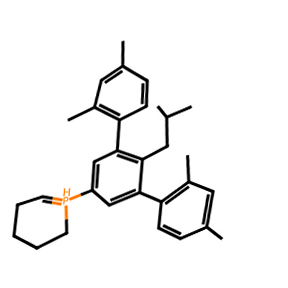 Cc1ccc(-c2cc([PH]3=CCCCC3)cc(-c3ccc(C)cc3C)c2CC(C)C)c(C)c1